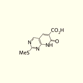 CSc1ncc2cc(C(=O)O)c(=O)[nH]c2n1